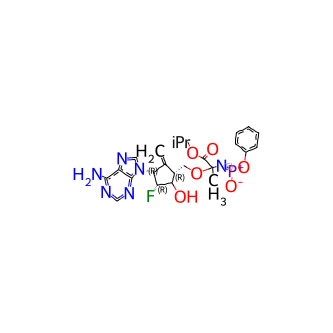 C=C1[C@@H](n2cnc3c(N)ncnc32)[C@@H](F)C(O)[C@H]1COC(C)(/N=[P+](\[O-])Oc1ccccc1)C(=O)OC(C)C